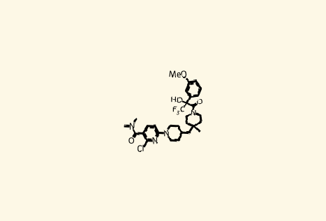 COc1cccc([C@@](O)(C(=O)N2CCC(C)(CC3CCN(c4ccc(C(=O)N(C)C)c(Cl)n4)CC3)CC2)C(F)(F)F)c1